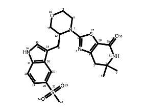 CC1(C)Cc2nc(N3CCOC[C@@H]3Cc3c[nH]c4ccc(S(C)(=O)=O)cc34)sc2C(=O)N1